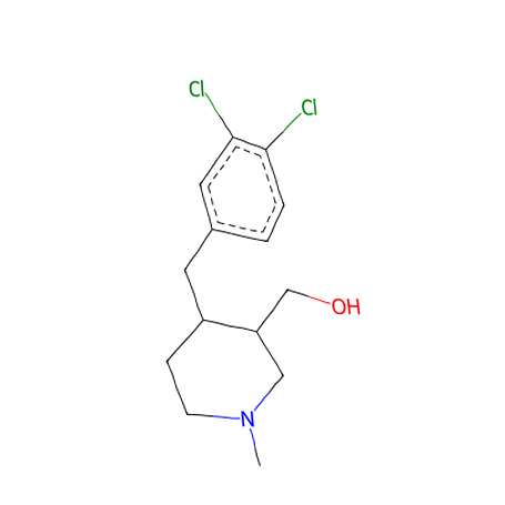 CN1CCC(Cc2ccc(Cl)c(Cl)c2)C(CO)C1